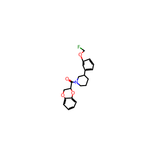 O=C(C1COc2ccccc2O1)N1CCCC(c2cccc(OCF)c2)C1